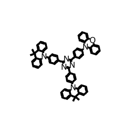 CC1(C)c2ccccc2N(c2ccc(-c3nc(-c4ccc(N5c6ccccc6Oc6ccccc65)cc4)nc(-c4ccc(N5c6ccccc6C(C)(C)c6ccccc65)cc4)n3)cc2)c2ccccc21